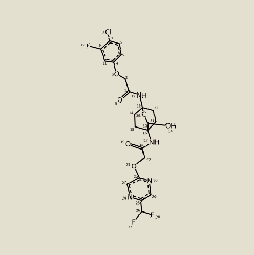 O=C(COc1ccc(Cl)c(F)c1)NC12CCC(NC(=O)COc3cnc(C(F)F)cn3)(CC1)C(O)C2